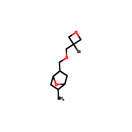 CCC1(COCC2CC3OC2CC3[SiH3])COC1